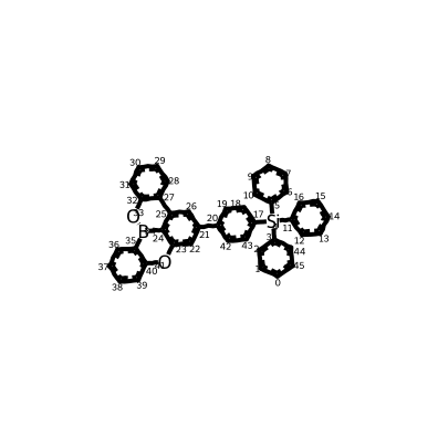 c1ccc([Si](c2ccccc2)(c2ccccc2)c2ccc(-c3cc4c5c(c3)-c3ccccc3OB5c3ccccc3O4)cc2)cc1